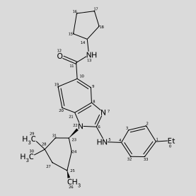 CCc1ccc(Nc2nc3cc(C(=O)NC4CCCC4)ccc3n2[C@H]2C[C@@H](C)CC(C)(C)C2)cc1